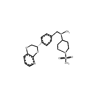 CN(Cc1ccc([C@H]2COc3cccnc3O2)cc1)C1CCN(S(C)(=O)=O)CC1